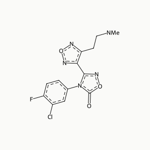 CNCCc1nonc1-c1noc(=O)n1-c1ccc(F)c(Cl)c1